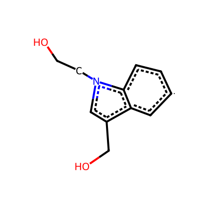 OCCn1cc(CO)c2c[c]ccc21